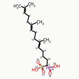 CC(C)=CCC/C(C)=C/CC/C(C)=C/CCCC([PH](=O)O)S(=O)(=O)O